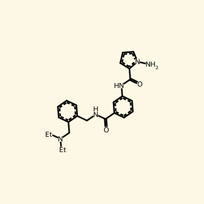 CCN(CC)Cc1ccccc1CNC(=O)c1cccc(NC(=O)c2cccn2N)c1